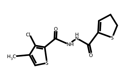 Cc1csc(C(=O)NNC(=O)C2=CCCS2)c1Cl